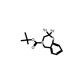 [2H]C1([2H])CN(C(=O)OC(C)(C)C)Cc2ccccc2S1